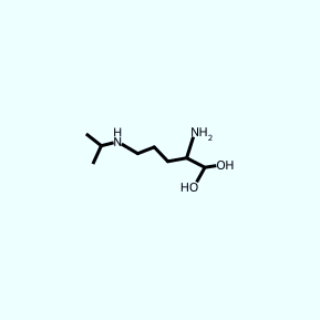 CC(C)NCCCC(N)C(O)O